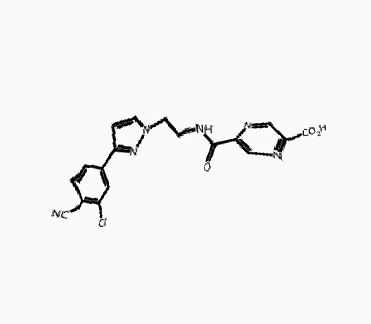 N#Cc1ccc(-c2ccn(CCNC(=O)c3cnc(C(=O)O)cn3)n2)cc1Cl